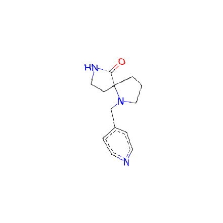 O=C1NCCC12CCCN2Cc1ccncc1